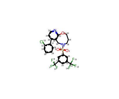 O=S(=O)(c1cc(C(F)(F)F)cc(C(F)(F)F)c1)N1CCCOc2nccc(-c3ccccc3Cl)c2C1